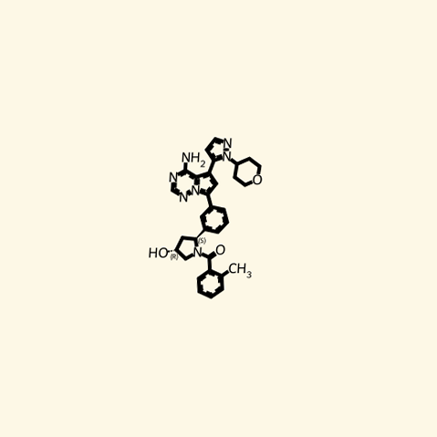 Cc1ccccc1C(=O)N1C[C@H](O)C[C@H]1c1cccc(-c2cc(-c3ccnn3C3CCOCC3)c3c(N)ncnn23)c1